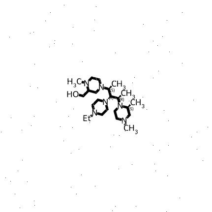 CCN1CCN([C@@H]([C@@H](C)N2CCN(C)C[C@@H]2C)[C@H](C)N2CCN(C)C(CO)C2)CC1